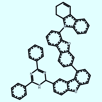 C1=Cc2c(n(-c3cccc4c3oc3cc(-c5cccc6oc7ccc(C8N=C(c9ccccc9)N=C(c9ccccc9)N8)cc7c56)ccc34)c3ccccc23)CC1